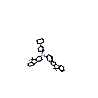 CC1(C)c2ccccc2-c2ccc(N(c3ccc(-c4ccccc4)cc3)c3ccc4cc5c(cc4c3)C(C)(C)c3ccccc3-5)cc21